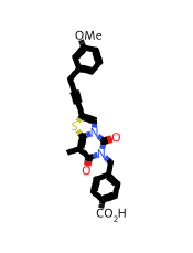 COc1cccc(CC#Cc2cn3c(=O)n(Cc4ccc(C(=O)O)cc4)c(=O)c(C)c3s2)c1